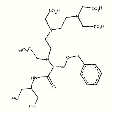 O=C(O)CN(CCN(CC(=O)O)CC(=O)O)CCN(CC(=O)O)[C@H](COCc1ccccc1)C(=O)NC(CO)CO